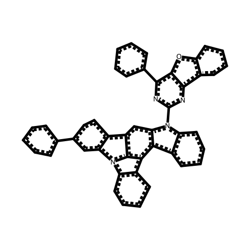 c1ccc(-c2ccc3c4cc5c(c6ccccc6n5-c5nc(-c6ccccc6)c6oc7ccccc7c6n5)c5c6ccccc6n(c3c2)c45)cc1